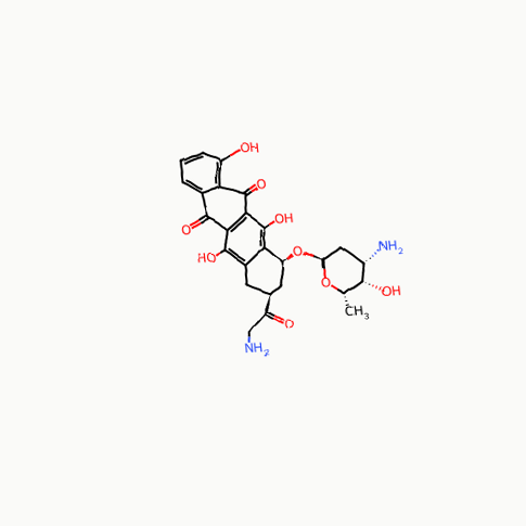 C[C@@H]1O[C@@H](O[C@H]2C[C@@H](C(=O)CN)Cc3c(O)c4c(c(O)c32)C(=O)c2c(O)cccc2C4=O)C[C@H](N)[C@@H]1O